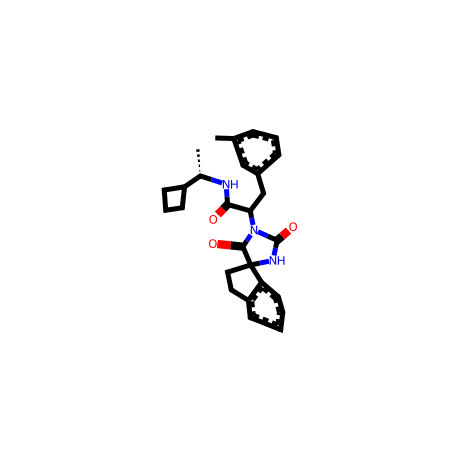 Cc1cccc(CC(C(=O)N[C@@H](C)C2CCC2)N2C(=O)NC3(CCc4ccccc43)C2=O)c1